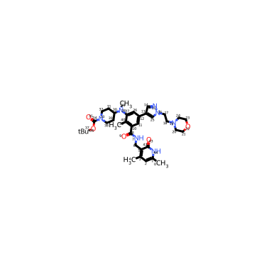 Cc1cc(C)c(CNC(=O)c2cc(-c3cnn(CCN4CCOCC4)c3)cc(N(C)C3CCN(C(=O)OC(C)(C)C)CC3)c2C)c(=O)[nH]1